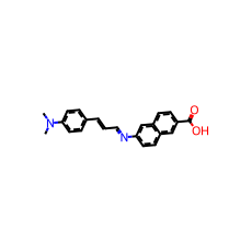 CN(C)c1ccc(C=CC=Nc2ccc3cc(C(=O)O)ccc3c2)cc1